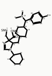 COC(=O)C1(CSC)N=CN(C2CCCCC2)C1CC1CCC(C(c2ccc(F)cc2)N(C)C)CC1